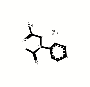 CC(=O)N(CC(=O)O)c1ccccc1.N